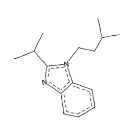 CC(C)CCn1c(C(C)C)nc2ccccc21